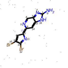 NC1N=c2cn/c(=C3\C=C(Br)C(Br)=N3)cc2N1